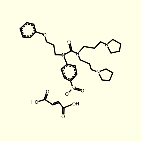 O=C(N(CCCN1CCCC1)CCCN1CCCC1)N(CCCOc1ccccc1)c1ccc([N+](=O)[O-])cc1.O=C(O)C=CC(=O)O